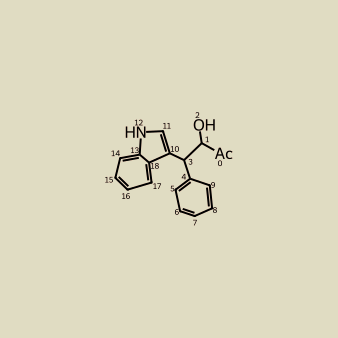 CC(=O)C(O)C(c1ccccc1)c1c[nH]c2ccccc12